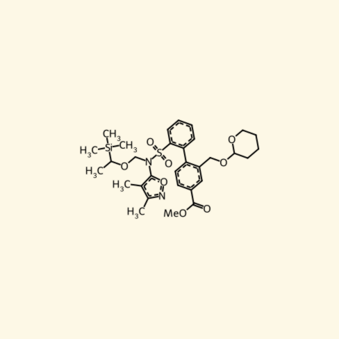 COC(=O)c1ccc(-c2ccccc2S(=O)(=O)N(COC(C)[Si](C)(C)C)c2onc(C)c2C)c(COC2CCCCO2)c1